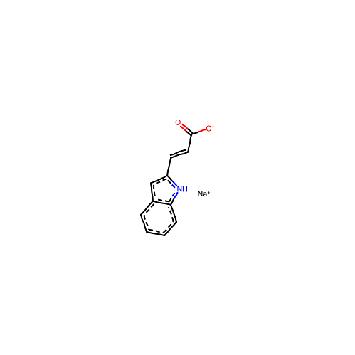 O=C([O-])C=Cc1cc2ccccc2[nH]1.[Na+]